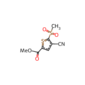 COC(=O)c1cc(C#N)c(S(C)(=O)=O)s1